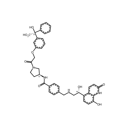 O=C(N[C@H]1CCN(C(=O)COc2cccc([C@](O)(C(=O)O)c3ccccc3)c2)C1)c1ccc(CNC[C@H](O)c2ccc(O)c3[nH]c(=O)ccc23)cc1